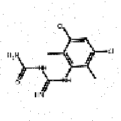 Cc1c(Cl)cc(Cl)c(C)c1NC(=N)NC(N)=O